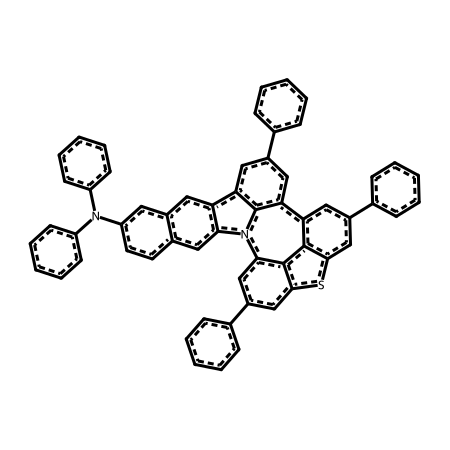 c1ccc(-c2cc3sc4cc(-c5ccccc5)cc5c4c3c(c2)c2cc(-c3ccccc3)cc3c4cc6cc(N(c7ccccc7)c7ccccc7)ccc6cc4n5c23)cc1